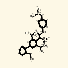 CC(C)c1cc(-c2ccccc2CO)cc(C(C)C)c1C(C(=O)Nc1ccc(CN(C)C)cc1)[SH](=O)=O